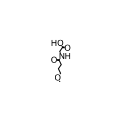 COCCCC(=O)NCC(=O)O